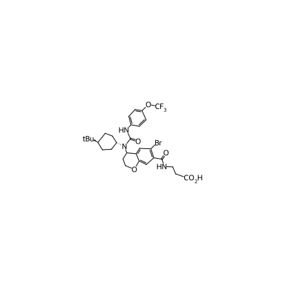 CC(C)(C)[C@H]1CC[C@H](N(C(=O)Nc2ccc(OC(F)(F)F)cc2)C2CCOc3cc(C(=O)NCCC(=O)O)c(Br)cc32)CC1